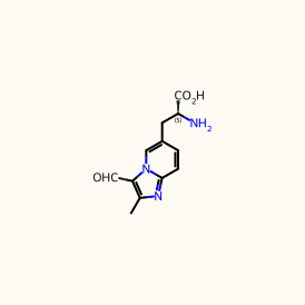 Cc1nc2ccc(C[C@H](N)C(=O)O)cn2c1C=O